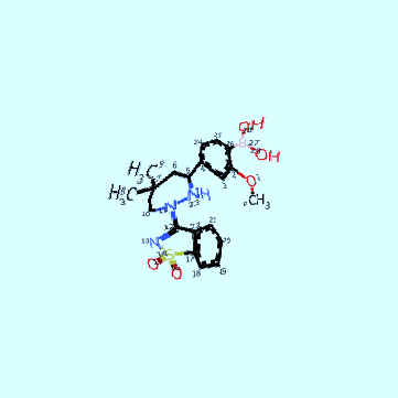 COc1cc(C2CC(C)(C)CN(C3=NS(=O)(=O)c4ccccc43)N2)ccc1B(O)O